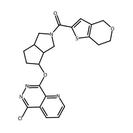 O=C(c1cc2c(s1)CCOC2)N1CC2CCC(Oc3nnc(Cl)c4cccnc34)C2C1